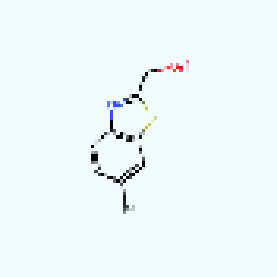 CCc1ccc2nc(CO)sc2c1